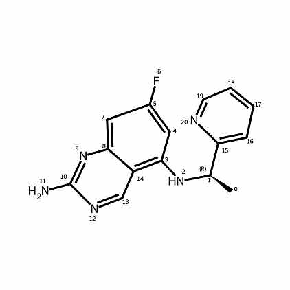 C[C@@H](Nc1cc(F)cc2nc(N)ncc12)c1ccccn1